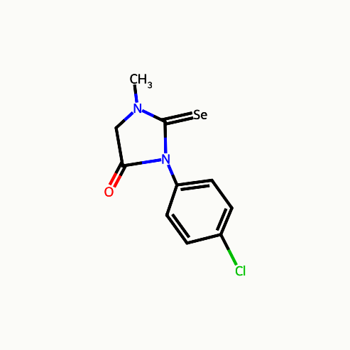 CN1CC(=O)N(c2ccc(Cl)cc2)C1=[Se]